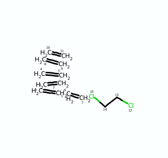 C=C.C=C.C=C.C=C.C=C.C=C.ClCCCl